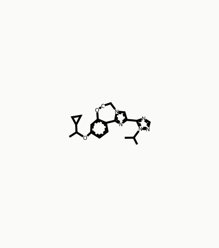 CC(Oc1ccc2c(c1)OCCn1cc(-c3ncnn3C(C)C)nc1-2)C1CC1